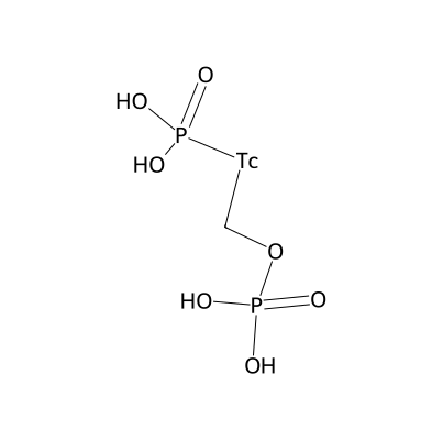 O=P(O)(O)O[CH2][Tc][P](=O)(O)O